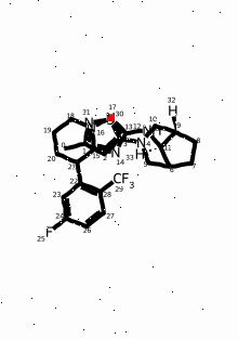 Cc1cc(N2CC3CC[C@@H](C2)[C@@H]3Nc2nc3n(n2)CCCC3c2cc(F)ccc2C(F)(F)F)sn1